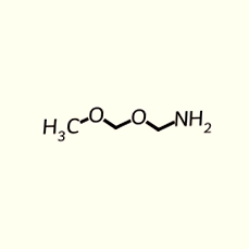 COCOCN